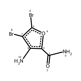 NC(=O)c1oc(Br)c(Br)c1N